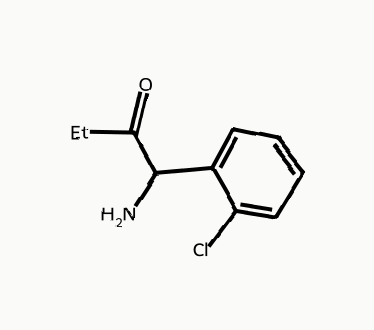 CCC(=O)C(N)c1ccccc1Cl